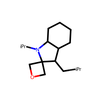 CC(C)CC1C2CCCCC2N(C(C)C)C12COC2